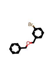 Brc1cccc(COCc2ccccc2)c1